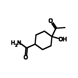 CC(=O)C1(O)CCC(C(N)=O)CC1